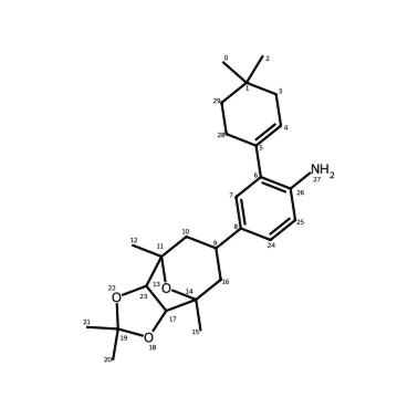 CC1(C)CC=C(c2cc(C3CC4(C)OC(C)(C3)C3OC(C)(C)OC34)ccc2N)CC1